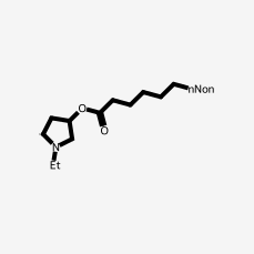 CCCCCCCCCCCCCCC(=O)OC1C[CH]N(CC)C1